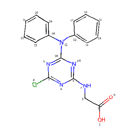 O=C(O)CNc1nc(Cl)nc(N(c2ccccc2)c2ccccc2)n1